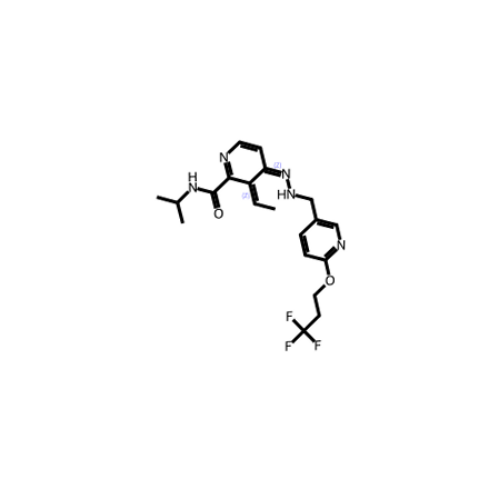 C/C=C1/C(C(=O)NC(C)C)=NC=C/C1=N/NCc1ccc(OCCC(F)(F)F)nc1